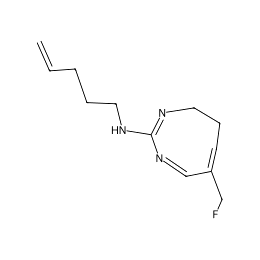 C=CCCCNC1=N/CCC=C(CF)/C=N\1